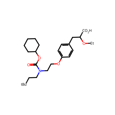 CCOC(Cc1ccc(OCCN(CCC(C)(C)C)C(=O)OC2CCCCC2)cc1)C(=O)O